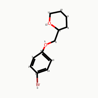 Brc1ccc(OCC2CCCCO2)cc1